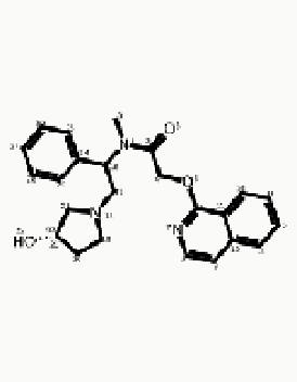 CN(C(=O)COc1nccc2ccccc12)C(CN1CC[C@H](O)C1)c1ccccc1